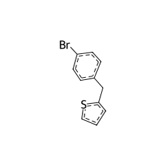 Brc1ccc(Cc2cccs2)cc1